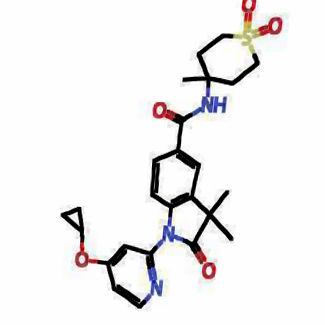 CC1(NC(=O)c2ccc3c(c2)C(C)(C)C(=O)N3c2cc(OC3CC3)ccn2)CCS(=O)(=O)CC1